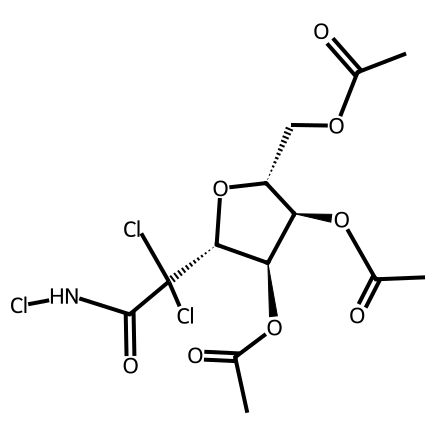 CC(=O)OC[C@H]1O[C@@H](C(Cl)(Cl)C(=O)NCl)[C@H](OC(C)=O)[C@@H]1OC(C)=O